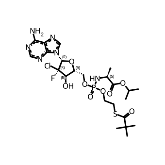 CC(C)OC(=O)[C@H](C)NP(=O)(OCCSC(=O)C(C)(C)C)OC[C@H]1O[C@@H](n2cnc3c(N)ncnc32)[C@](F)(Cl)[C@@H]1O